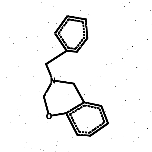 c1ccc(CN2COc3ccccc3C2)cc1